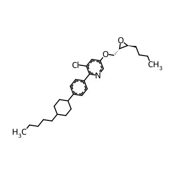 CCCCCC1CCC(c2ccc(-c3ncc(OC[C@@H]4O[C@H]4CCCC)cc3Cl)cc2)CC1